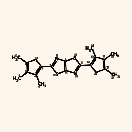 CC1=C(C)C(C)=C(c2nc3sc(C4=C(C)C(C)=C(C)C4)nc3s2)C1